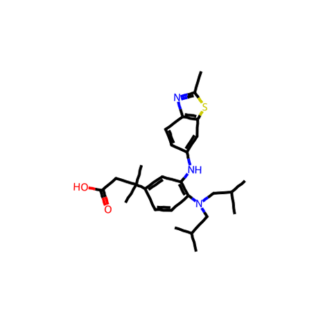 Cc1nc2ccc(Nc3cc(C(C)(C)CC(=O)O)ccc3N(CC(C)C)CC(C)C)cc2s1